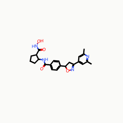 Cc1cc(C2=NOC(c3ccc(C(=O)NC4CCCC4C(=O)NO)cc3)C2)cc(C)n1